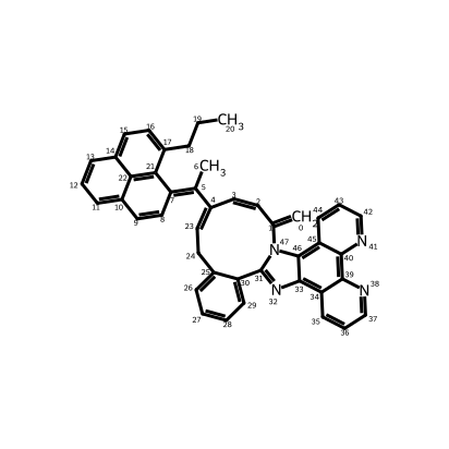 C=C1\C=C/C(C(/C)=c2\ccc3cccc4ccc(CCC)c2c43)=C\Cc2ccccc2-c2nc3c4cccnc4c4ncccc4c3n21